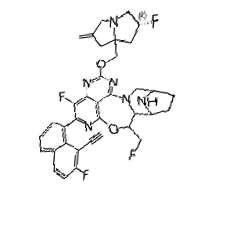 C#Cc1c(F)ccc2cccc(-c3nc4c5c(nc(OCC67CC(=C)CN6C[C@H](F)C7)nc5c3F)N3CC5CCC(N5)C3C(CF)O4)c12